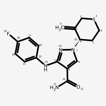 C=C1CSCC[C@@H]1n1cc(C(N)=O)c(Nc2ccc(F)cc2)n1